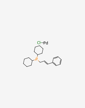 C(=C\c1ccccc1)/CP(C1CCCCC1)C1CCCCC1.[Cl][Pd]